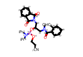 CC(C)N(C(C)C)P(OCCC#N)OC(CN(C)C(=O)c1ccccc1C=O)CN1C(=O)c2ccccc2C1=O